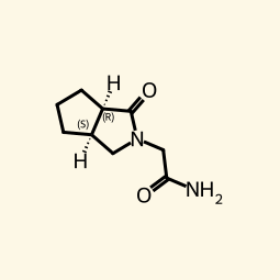 NC(=O)CN1C[C@H]2CCC[C@H]2C1=O